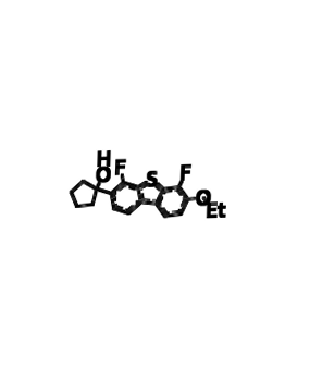 CCOc1ccc2c(sc3c(F)c(C4(O)CCCC4)ccc32)c1F